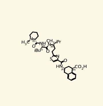 CC[C@H](C)[C@H](NC(=O)[C@H]1CCCCN1C)C(=O)N(C)[C@H](CCc1nc(C(=O)N[C@H]2Cc3ccccc3[C@H](C(=O)O)C2)cs1)C(C)C